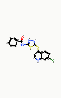 O=C(Nc1nnc(Sc2ccnc3cc(Cl)ccc23)s1)c1ccccc1